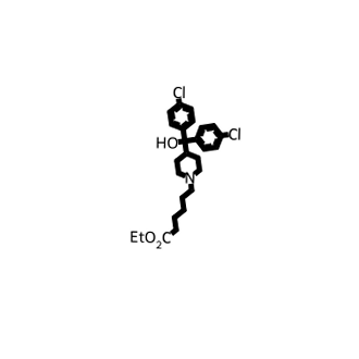 CCOC(=O)CCCCCN1CCC(C(O)(c2ccc(Cl)cc2)c2ccc(Cl)cc2)CC1